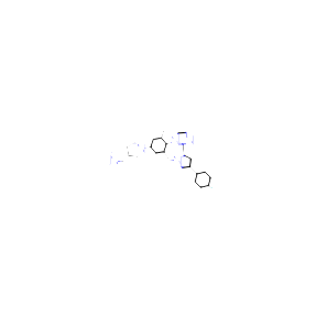 Cc1cc(N2C[C@@H](CN(C)C)[C@H](C)C2)cc2c1-n1ccnc1-c1cc(-c3ccc(F)cc3)cn1C2